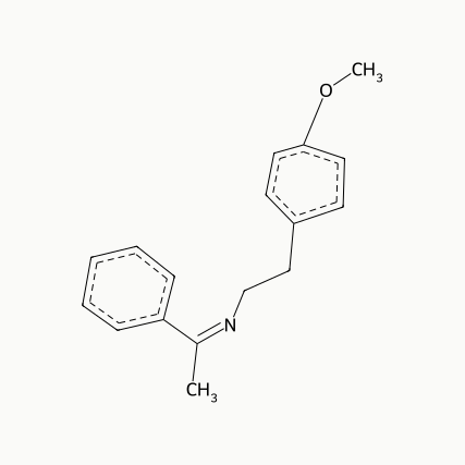 COc1ccc(CCN=C(C)c2ccccc2)cc1